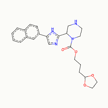 O=C(OCCCC1OCCO1)N1CCNCC1c1ncc(-c2ccc3ccccc3c2)[nH]1